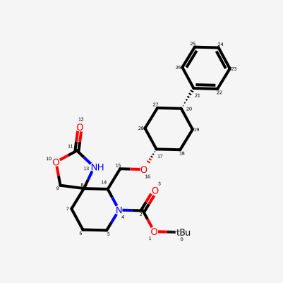 CC(C)(C)OC(=O)N1CCCC2(COC(=O)N2)C1CO[C@H]1CC[C@@H](c2ccccc2)CC1